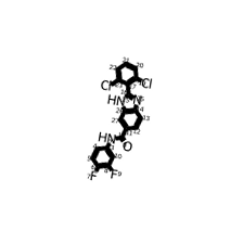 O=C(Nc1ccc(F)c(F)c1)c1ccc2nc(-c3c(Cl)cccc3Cl)[nH]c2c1